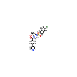 O=NC(=O)C1CN(S(=O)(=O)c2ccc3cc(Cl)ccc3c2)CCN1C(=O)c1ccc(-c2ccncc2)cc1